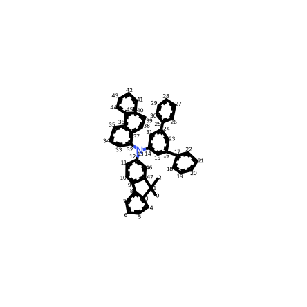 CC1(C)c2ccccc2-c2ccc(N(c3cc(-c4ccccc4)cc(-c4ccccc4)c3)c3cccc4c3ccc3ccccc34)cc21